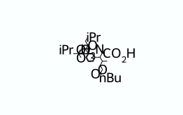 CCCCC(=O)OCC(C)C(c1ccc(OC(=O)CC(C)C)c(OC(=O)CC(C)C)c1)[C@H](N)C(=O)O